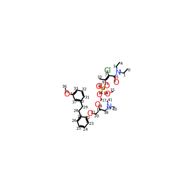 CCN(CC)C(=O)/C(Cl)=C(/C)OP(=O)(OC)OCO[C@H](COc1ccccc1CCc1cccc(OC)c1)CN(C)C